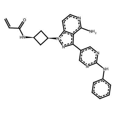 C=CC(=O)N[C@H]1C[C@@H](n2nc(-c3cnc(Nc4ccccc4)nc3)c3c(N)nccc32)C1